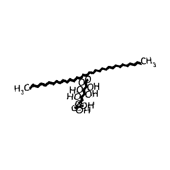 CCCCCCCCCCCCCCCCCC(CCCCCCCCCCCCCCCCC)OC(=O)C(O)C(O)C(O)C(O)COP(=O)(O)O